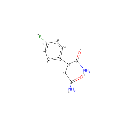 NC(=O)CC(C(N)=O)c1ccc(F)cc1